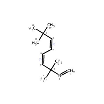 C=NC(C)(C)/C=C\C=C/C(C)(C)C